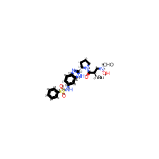 CCCC[C@H](CN(O)C=O)C(=O)N1CCC[C@H]1c1nc2ccc(NS(=O)(=O)c3ccccc3)cc2[nH]1